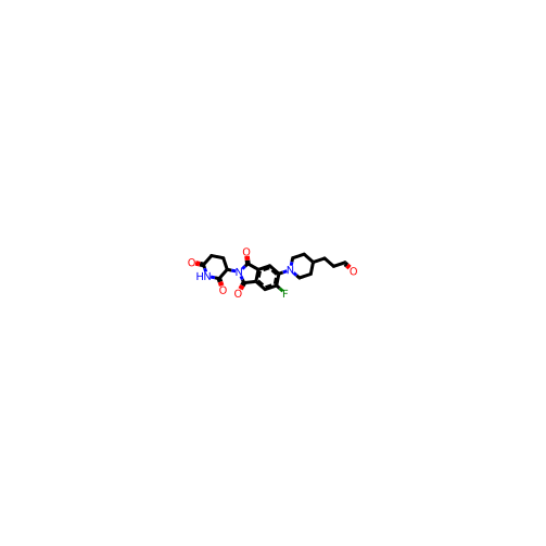 O=CCCC1CCN(c2cc3c(cc2F)C(=O)N(C2CCC(=O)NC2=O)C3=O)CC1